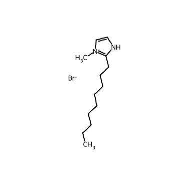 CCCCCCCCCc1[nH]cc[n+]1C.[Br-]